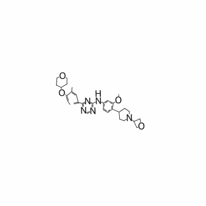 C=C(/C=C(C)\C(=C/C)OC1CCOCC1)c1ncnc(Nc2ccc(C3CCN(C4COC4)CC3)c(OC)c2)n1